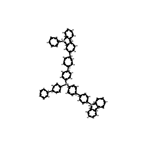 c1ccc(-c2ccc(N(c3ccc(-c4ccc(-c5ccc6c7ccccc7n(-c7ccccc7)c6c5)cc4)cc3)c3ccc(-c4ccc(-n5c6ccccc6c6ccccc65)cc4)cc3)cc2)cc1